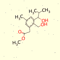 COC(=O)Cc1cc(C)cc(C(O)C(C)C)c1CO